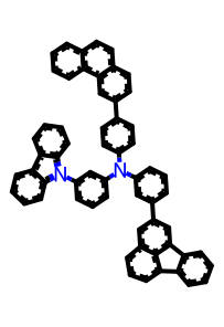 c1cc(-c2cc3c4c(cccc4c2)-c2ccccc2-3)cc(N(c2ccc(-c3ccc4ccc5ccccc5c4c3)cc2)c2cccc(-n3c4ccccc4c4ccccc43)c2)c1